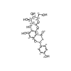 O=C1CC(c2ccc(O)cc2)Oc2cc(O)cc(OC3O[C@H](CO)[C@@H](O)[C@H](O)[C@H]3O)c21